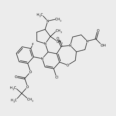 CN(C)C1CCN(C2C3=C(OCC4CN(C(=O)O)CCN4C3=O)C(Cl)=CN2c2c(F)cccc2OC(=O)OC(C)(C)C)C1(C)C